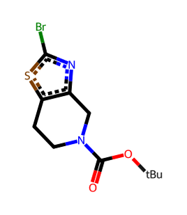 CC(C)(C)OC(=O)N1CCc2sc(Br)nc2C1